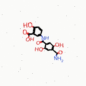 NC(=O)c1cc(O)c(C(=O)Nc2ccc(O)c(C(=O)O)c2)cc1O